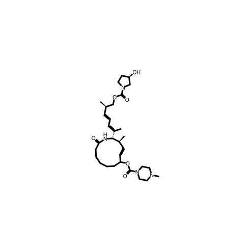 C/C(=C\C=C\[C@@H](C)COC(=O)N1CC[C@@H](O)C1)[C@H]1NC(=O)CCCCCC(OC(=O)N2CCN(C)CC2)/C=C/[C@@H]1C